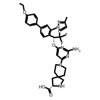 CCOc1ccc(-c2ccc([C@@H](Oc3cc(N4CCC5(CC4)CN[C@H](C(=O)O)C5)nc(N)n3)C(F)(F)F)c(-n3ccc(C)n3)c2)cc1